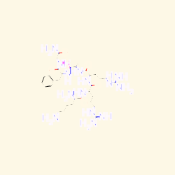 CC(NC(=O)C(CCCNC(=N)N)NC(=O)C(CCCNC(=N)N)NC(=O)C(N)CCCCN)C(=O)NC(Cc1ccccc1)C(=O)NCC(N)=O